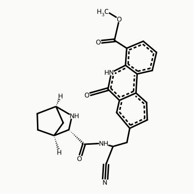 COC(=O)c1cccc2c1[nH]c(=O)c1cc(CC(C#N)NC(=O)[C@H]3N[C@@H]4CC[C@H]3C4)ccc12